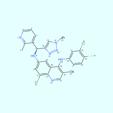 Cc1ncccc1[C@H](Nc1cc(Cl)c2ncc(C#N)c(Nc3ccc(F)c(Cl)c3)c2c1)c1cn(C(C)C)nn1